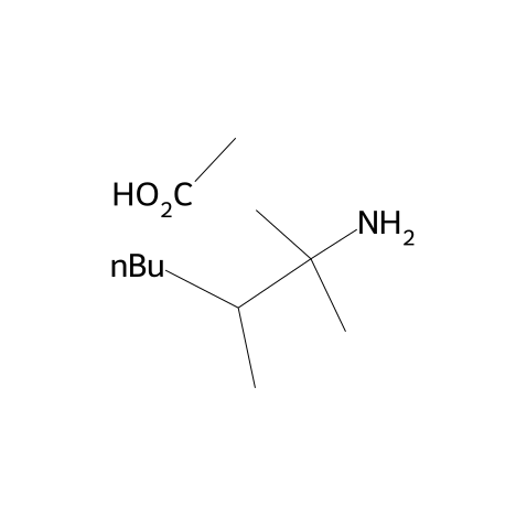 CC(=O)O.CCCCC(C)C(C)(C)N